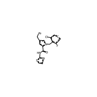 CC(C)Cc1cc(C(=O)Nc2nccs2)n(Cc2c(F)cccc2Cl)c1